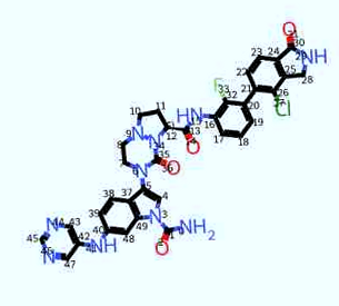 NC(=O)n1cc(N2CCN3CC[C@@H](C(=O)Nc4cccc(-c5ccc6c(c5Cl)CNC6=O)c4F)N3C2=O)c2ccc(Nc3cncnc3)cc21